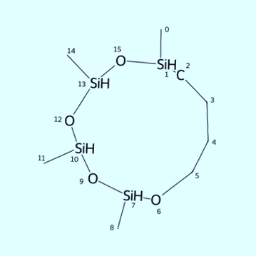 C[SiH]1CCCCO[SiH](C)O[SiH](C)O[SiH](C)O1